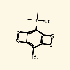 CC[PH](C)(C)c1c2ssc2c(C(C)(C)C)c2ssc12